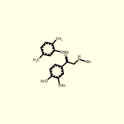 CC(=O)Oc1ccc(C(=O)CNC(C)(C)C)cc1OC(C)=O.COc1cc(C)ccc1C